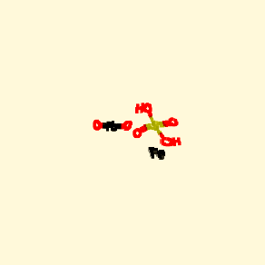 O=S(=O)(O)O.[Fe].[O]=[Pb]=[O]